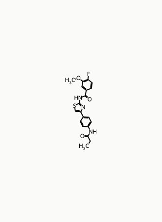 CCC(=O)Nc1ccc(-c2csc(NC(=O)c3ccc(F)c(OC)c3)n2)cc1